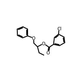 CCC(COc1ccccc1)OC(=O)c1cccc(Cl)c1